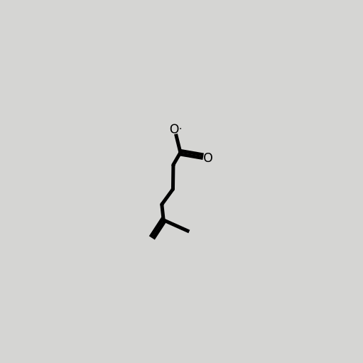 C=C(C)CCCC([O])=O